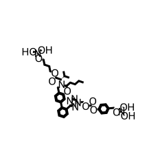 CCCCC(=O)N(Cc1ccc(-c2ccccc2-c2nnn(COC(=O)Oc3ccc(CON(O)O)cc3)n2)cc1)[C@H](C(=O)OCCCCON(O)O)C(C)C